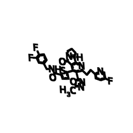 Cc1nnc(-c2c(CCc3ccc(F)cn3)nc3c(c2-c2ccc(C(=O)NCc4ccc(F)c(F)c4)s2)C(=O)N2CCC[C@@H]32)o1